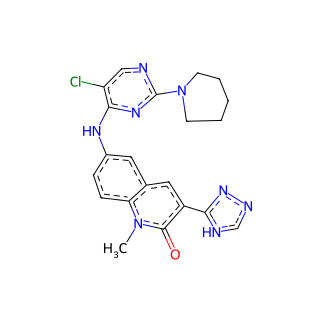 Cn1c(=O)c(-c2nnc[nH]2)cc2cc(Nc3nc(N4CCCCC4)ncc3Cl)ccc21